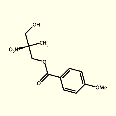 COc1ccc(C(=O)OC[C@@](C)(CO)[N+](=O)[O-])cc1